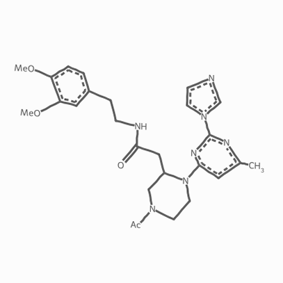 COc1ccc(CCNC(=O)CC2CN(C(C)=O)CCN2c2cc(C)nc(-n3ccnc3)n2)cc1OC